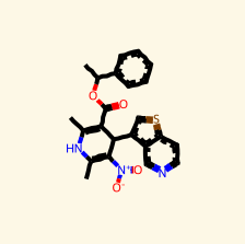 CC1=C(C(=O)OC(C)c2ccccc2)C(c2csc3ccncc23)C([N+](=O)[O-])=C(C)N1